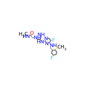 CNC(=O)CN/C=C(\C=N)Nc1ncc(F)c(NCc2cc(F)ccc2SC)n1